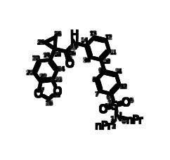 CCCN(CCC)S(=O)(=O)c1ccc(-c2cccc(NC(=O)C3(c4ccc5c(c4)OCO5)CC3)c2)cc1